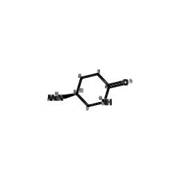 CN[C@H]1CCC(=O)NC1